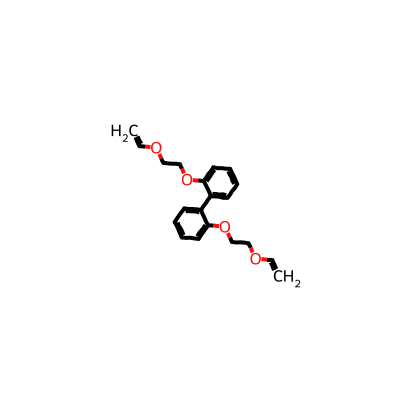 C=COCCOc1ccccc1-c1ccccc1OCCOC=C